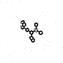 c1ccc(-c2nc(-c3ccccc3)nc(-c3cc(-c4ccc(-c5ccnc6c5ccc5cccnc56)cc4)cc(-c4ccc5ccccc5c4)c3)n2)cc1